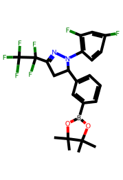 CC1(C)OB(c2cccc(C3CC(C(F)(F)C(F)(F)F)=NN3c3ccc(F)cc3F)c2)OC1(C)C